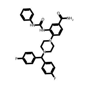 NC(=O)c1ccc(N2CCN(C(c3ccc(F)cc3)c3ccc(F)cc3)CC2)c(NC(=O)Nc2ccccc2)c1